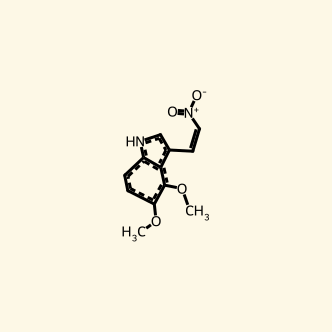 COc1ccc2[nH]cc(/C=C\[N+](=O)[O-])c2c1OC